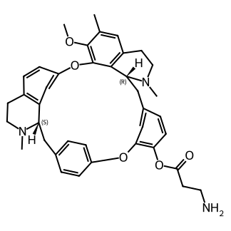 COc1c(C)cc2c3c1Oc1ccc4c(c1)[C@H](Cc1ccc(cc1)Oc1cc(ccc1OC(=O)CCN)C[C@H]3N(C)CC2)N(C)CC4